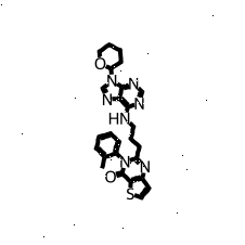 Cc1ccccc1-n1c(CCCNc2ncnc3c2ncn3C2CCCCO2)nc2ccsc2c1=O